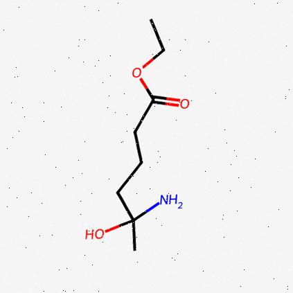 CCOC(=O)CCCC(C)(N)O